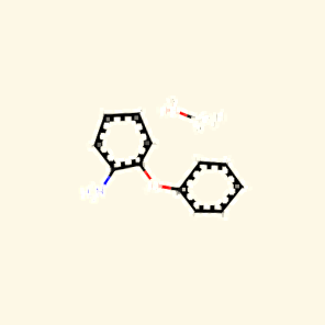 Nc1ccccc1Oc1ccccc1.O=S(=O)(O)O